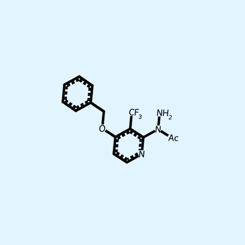 CC(=O)N(N)c1nccc(OCc2ccccc2)c1C(F)(F)F